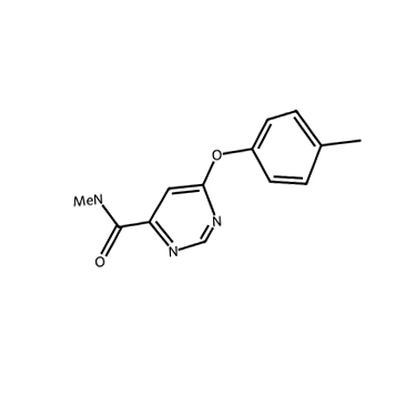 CNC(=O)c1cc(Oc2ccc(C)cc2)ncn1